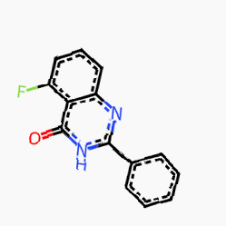 O=c1[nH]c(-c2ccccc2)nc2cccc(F)c12